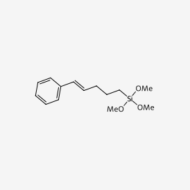 CO[Si](CCCC=Cc1ccccc1)(OC)OC